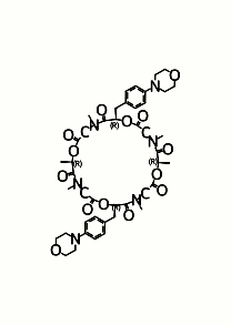 C[C@H]1OC(=O)CN(C)C(=O)[C@@H](Cc2ccc(N3CCOCC3)cc2)OC(=O)CN(C)C(=O)[C@@H](C)OC(=O)CN(C)C(=O)[C@@H](Cc2ccc(N3CCOCC3)cc2)OC(=O)CN(C)C1=O